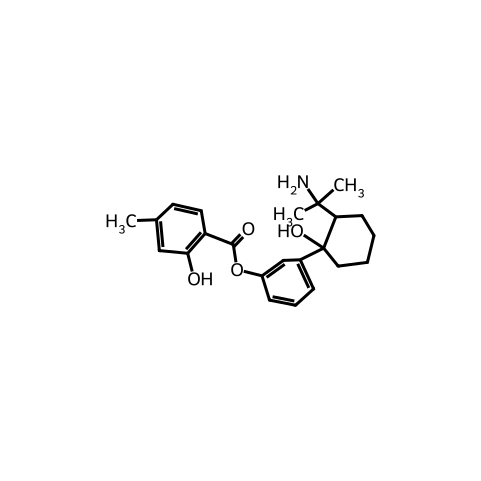 Cc1ccc(C(=O)Oc2cccc(C3(O)CCCCC3C(C)(C)N)c2)c(O)c1